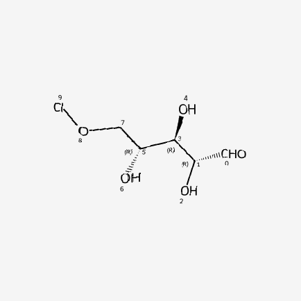 O=C[C@H](O)[C@H](O)[C@H](O)COCl